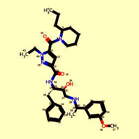 CCCC1CCCCN1C(=O)c1cc(C(=O)N[C@@H](Cc2ccccc2)[C@@H](O)CN[C@H](C)c2cccc(OC)c2)nn1CC